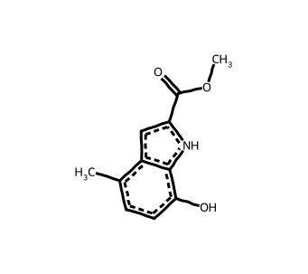 COC(=O)c1cc2c(C)ccc(O)c2[nH]1